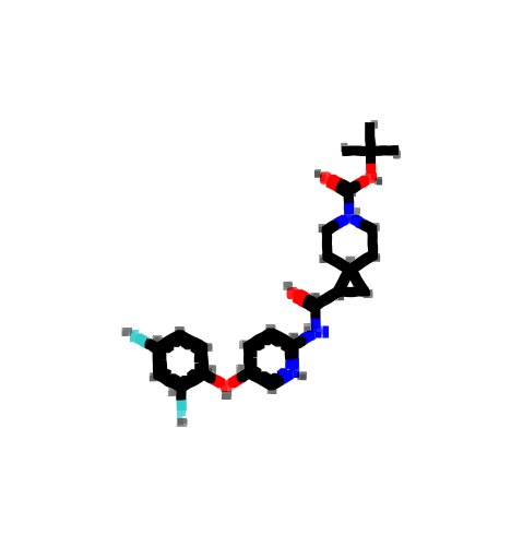 CC(C)(C)OC(=O)N1CCC2(CC1)CC2C(=O)Nc1ccc(Oc2ccc(F)cc2F)cn1